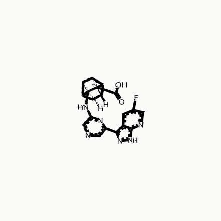 O=C(O)[C@H]1C2CCC(CC2)[C@@H]1Nc1cncc(-c2n[nH]c3ncc(F)cc23)n1